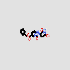 O=C1CCC(n2nc3ccc(C(=O)OCc4ccccc4)cn3c2=O)C(=O)N1